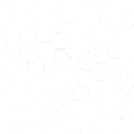 CC(C)c1ccc(F)c(-c2nn(C(C)C3=C(c4cccc(F)c4)C(C=O)c4ccccc4O3)c3ncnc(N)c23)c1